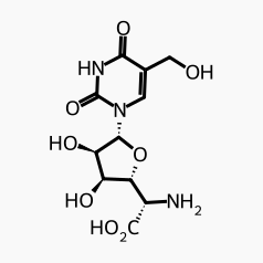 N[C@H](C(=O)O)[C@H]1O[C@@H](n2cc(CO)c(=O)[nH]c2=O)[C@H](O)[C@@H]1O